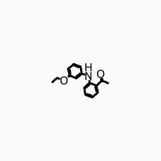 CCOc1cccc(Nc2ccccc2C(C)=O)c1